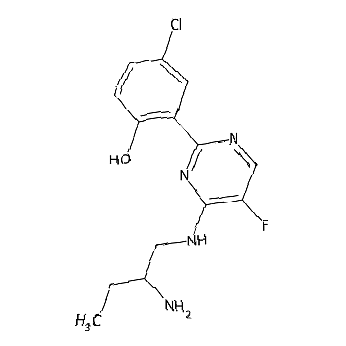 CCC(N)CNc1nc(-c2cc(Cl)ccc2O)ncc1F